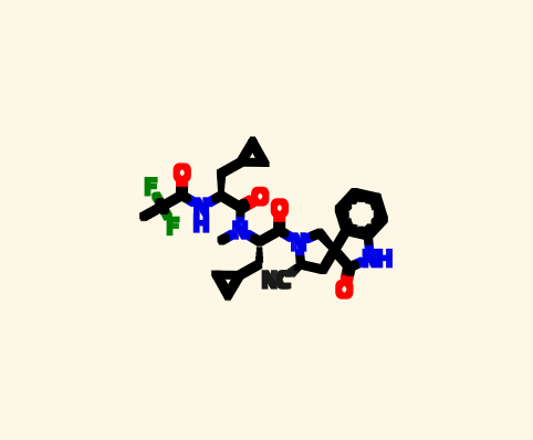 CN(C(=O)[C@H](CC1CC1)NC(=O)C(C)(F)F)[C@@H](CC1CC1)C(=O)N1C[C@]2(C[C@H]1C#N)C(=O)Nc1ccccc12